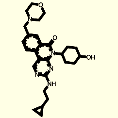 O=c1c2cc(CN3CCOCC3)ccc2c2cnc(NCCC3CC3)nc2n1C1CCC(O)CC1